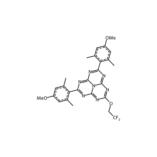 COc1cc(C)c(C2=NC3=NC(OCC(F)(F)F)=NC4=NC(c5c(C)cc(OC)cc5C)=NC(=N2)N34)c(C)c1